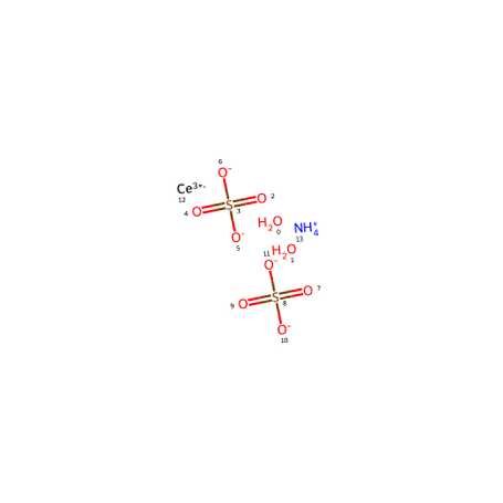 O.O.O=S(=O)([O-])[O-].O=S(=O)([O-])[O-].[Ce+3].[NH4+]